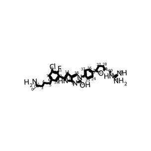 C[C@H](N)CCCc1cc(Cl)c(F)c(-c2cc3c([nH]2)=NC(O)N(c2ccc([C@@H]4CC[C@H](CNC(=N)N)O4)cc2)C=3)c1